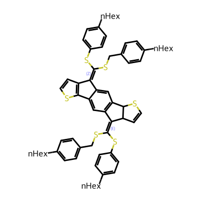 CCCCCCc1ccc(CS/C(Sc2ccc(CCCCCC)cc2)=C2\c3cc4c(cc3-c3sccc32)/C(=C(\SCc2ccc(CCCCCC)cc2)Sc2ccc(CCCCCC)cc2)C2C=CSC42)cc1